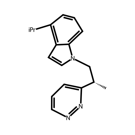 CC(C)c1cccc2c1ccn2C[C@H](C)c1cccnn1